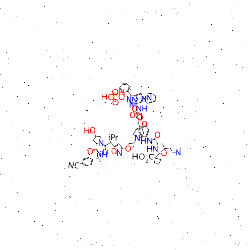 CC(C)C(C(=O)N1C[C@H](O)C[C@H]1C(=O)N[C@@H](C)c1ccc(C#N)cc1)c1cc(OCCN2CCC(OC3CC(Oc4cc(N5C6CCC5CN(c5cc(-c7ccccc7OP(=O)(O)O)nnc5NC(=O)OCc5ccc(NC(=O)[C@H](CCCCN(C)C)NC(=O)C7(C(=O)O)CCC7)cc5)C6)ccn4)C3)CC2)no1